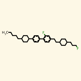 CCCCCC1CCC(c2ccc(-c3ccc(CCC4CCC(CCCF)CC4)cc3F)cc2)CC1